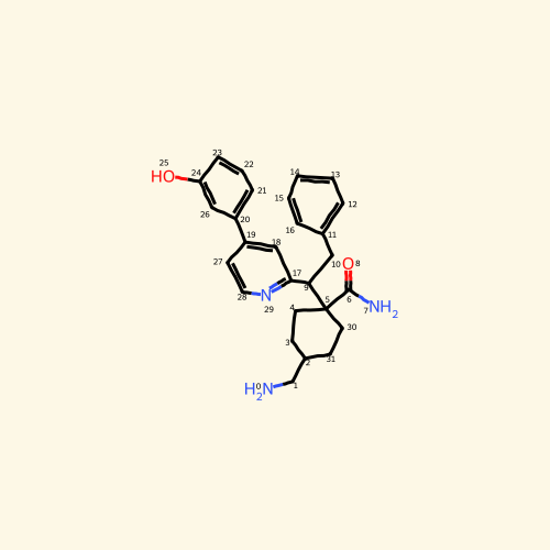 NCC1CCC(C(N)=O)(C(Cc2ccccc2)c2cc(-c3cccc(O)c3)ccn2)CC1